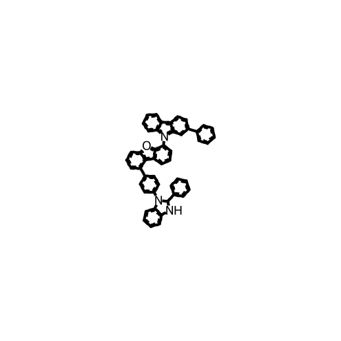 c1ccc(-c2ccc3c4ccccc4n(-c4cccc5c4oc4cccc(-c6ccc(N7c8ccccc8NC7c7ccccc7)cc6)c45)c3c2)cc1